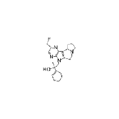 CC(O)(Cn1c2c(c3nc(CF)cnc31)C1CCCN1CC2)c1ccccc1